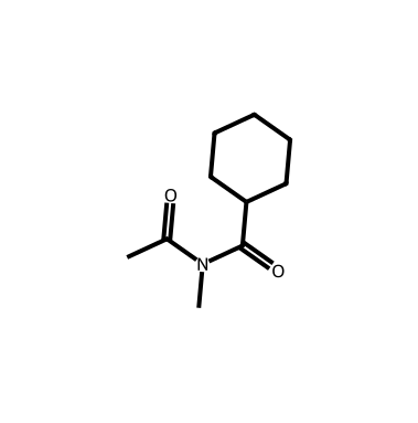 CC(=O)N(C)C(=O)C1CCCCC1